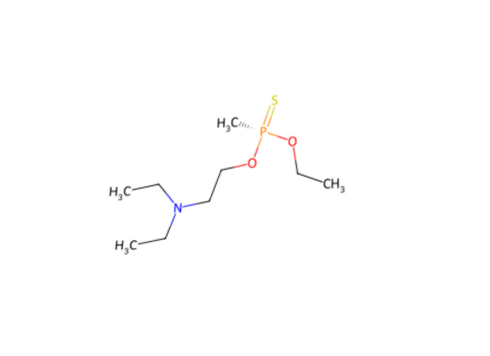 CCO[P@](C)(=S)OCCN(CC)CC